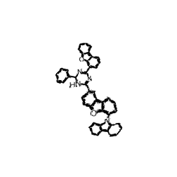 C1=Cc2c(n(-c3cccc4c3oc3ccc(C5=NC(c6cccc7c6oc6ccccc67)=NC(c6ccccc6)N5)cc34)c3ccccc23)CC1